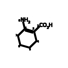 NC1=C(C(=O)O)CCCC1